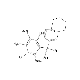 COc1c(C)c(C)c(OC)c(C(O)(c2ccc3c(c2)CCCC3)C(C)C)c1C